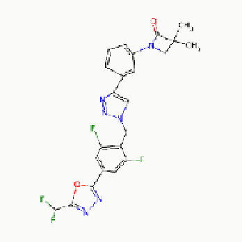 CC1(C)CN(c2cccc(-c3cn(Cc4c(F)cc(-c5nnc(C(F)F)o5)cc4F)nn3)c2)C1=O